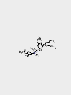 CCCN(CCC)c1cc(N/C(C)=N/C=C(\C)c2ccc(NC(C)=O)c(F)c2)nc(SC)n1